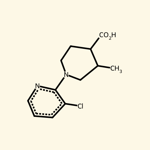 CC1CN(c2ncccc2Cl)CCC1C(=O)O